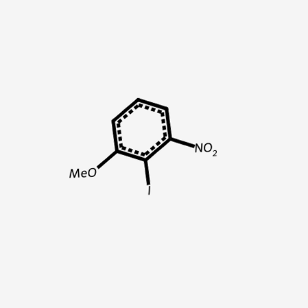 COc1cccc([N+](=O)[O-])c1I